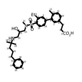 CCc1cc(-c2cc(CCC(=O)O)ccc2C)ccc1S(=O)(=O)N(C)CC(O)CNC(C)(C)CCCc1ccccc1